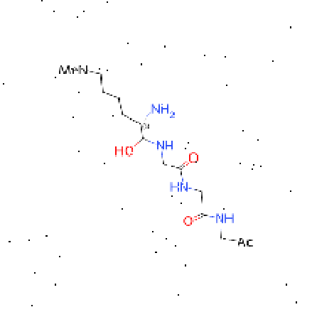 CNCCCC[C@H](N)C(O)NCC(=O)NCC(=O)NCC(C)=O